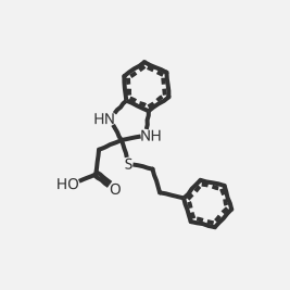 O=C(O)CC1(SCCc2ccccc2)Nc2ccccc2N1